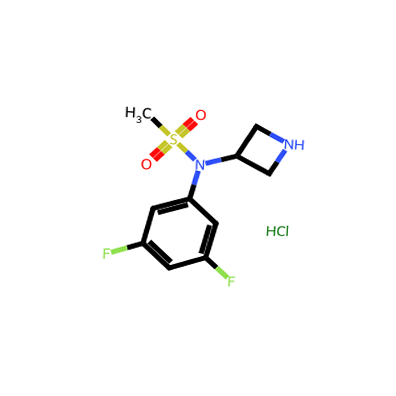 CS(=O)(=O)N(c1cc(F)cc(F)c1)C1CNC1.Cl